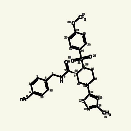 CCCc1ccc(CNC(=O)[C@H]2CN(c3nc(C)ns3)CCN2S(=O)(=O)c2ccc(OC(F)(F)F)cc2)cc1